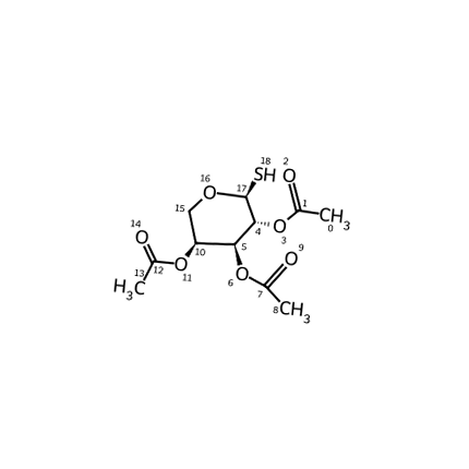 CC(=O)O[C@@H]1[C@@H](OC(C)=O)[C@@H](OC(C)=O)CO[C@H]1S